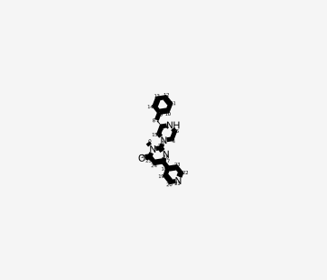 Cn1c(N2CCN[C@@H](Cc3ccccc3)C2)nc(-c2ccncc2)cc1=O